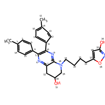 Cc1ccc(-c2nc3c(nc2-c2ccc(C)cc2)N(CCCCc2cc(O)no2)CC(O)C3)cc1